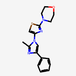 Cc1nc(-c2ccccc2)cn1-c1csc(N2CCOCC2)n1